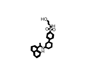 CC(NC1CCCC(c2ccc(S(=O)(=O)NCCO)cc2)C1)c1cccc2ccccc12